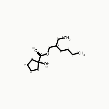 CCCCC(CC)COC(=O)C1(O)CCCC1